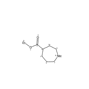 CCOC(=O)C1CCCNCC1